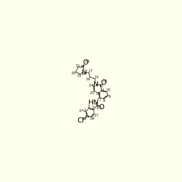 Cc1cc(C(=O)Nc2cccc3c(=O)n(CCCN4CCCC4=O)ccc23)ccc1Cl